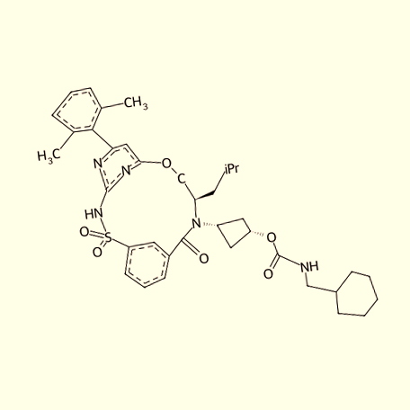 Cc1cccc(C)c1-c1cc2nc(n1)NS(=O)(=O)c1cccc(c1)C(=O)N([C@H]1C[C@@H](OC(=O)NCC3CCCCC3)C1)[C@H](CC(C)C)CO2